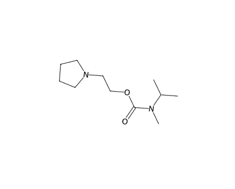 CC(C)N(C)C(=O)OCCN1CCCC1